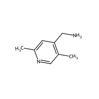 Cc1cc(CN)c(C)cn1